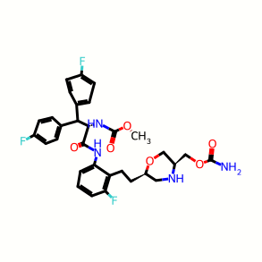 COC(=O)N[C@H](C(=O)Nc1cccc(F)c1CC[C@@H]1CN[C@H](COC(N)=O)CO1)C(c1ccc(F)cc1)c1ccc(F)cc1